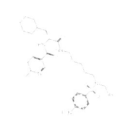 CC(C)CN(CCCCCNC(=O)[C@H](CC1CCCCC1)NC(=O)C1=CCC(C)N=C1)S(=O)(=O)c1ccc(N)cc1